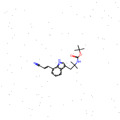 CC(C)(Cc1c[nH]c2c(C=CC#N)cccc12)NC(=O)OC(C)(C)C